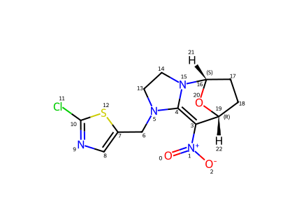 O=[N+]([O-])C1=C2N(Cc3cnc(Cl)s3)CCN2[C@@H]2CC[C@H]1O2